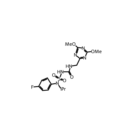 COc1nc(CNC(=O)NS(=O)(=O)N(c2ccc(F)cc2)C(C)C)nc(OC)n1